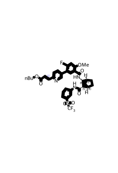 CCCCOC(=O)/C=C/c1ccc(-c2cc(C(=O)N[C@@H]3[C@H]4CC[C@H](C4)[C@@H]3C(=O)Nc3cccc(S(=O)(=O)C(F)(F)F)c3)c(OC)cc2F)cn1